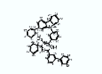 CC1(C2=NC(c3cccc(-c4ccccc4)c3)NC(c3cccc(-n4c5ccccc5c5ccc(-c6ccccc6)cc54)c3)=N2)C=CC=CC1